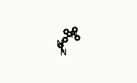 N#Cc1ccnc(-c2ccc(-c3cc4c(c5ccccc35)c3ccccc3n4-c3ccccc3)cc2)c1